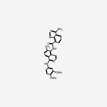 COc1ccc(Nc2nccc3c(NC(=O)c4cccc5c(N)ncnc45)c(C)ccc23)cc1OC